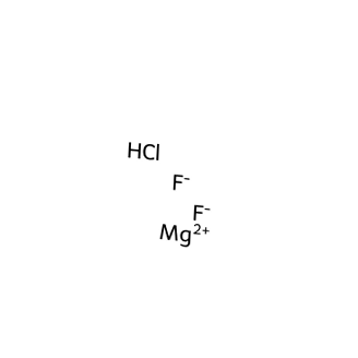 Cl.[F-].[F-].[Mg+2]